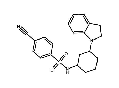 N#Cc1ccc(S(=O)(=O)NC2CCCC(N3CCc4ccccc43)C2)cc1